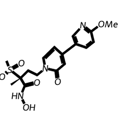 COc1ccc(-c2ccn(CC[C@](C)(C(=O)NO)S(C)(=O)=O)c(=O)c2)cn1